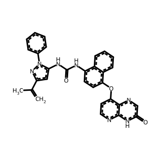 C=C(C)c1cc(NC(=O)Nc2ccc(Oc3ccnc4[nH]c(=O)cnc34)c3ccccc23)n(-c2ccccc2)n1